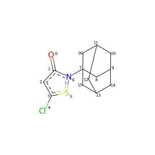 O=c1cc(Cl)sn1C12CC3CC(CC(C3)C1)C2